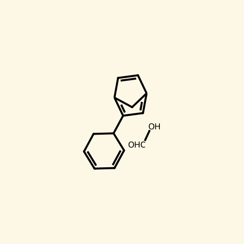 C1=CCC(C2=C3C=CC(=C2)C3)C=C1.O=CO